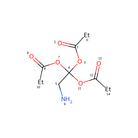 CCC(=O)OC(CN)(OC(=O)CC)OC(=O)CC